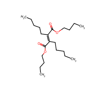 CCCCCC(C(=O)OCCCC)=C(CCCCC)C(=O)OCCCC